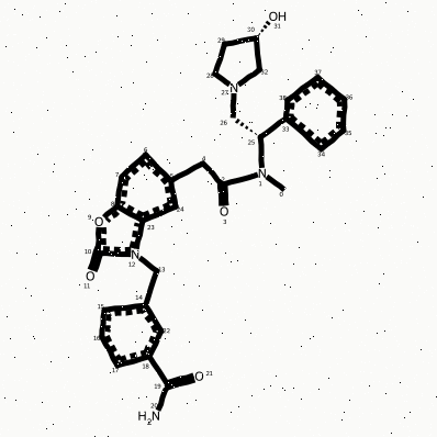 CN(C(=O)Cc1ccc2oc(=O)n(Cc3cccc(C(N)=O)c3)c2c1)[C@H](CN1CC[C@H](O)C1)c1ccccc1